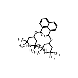 CC1(C)CC(OC(=O)c2cccc3cccc(C(=O)OC4CC(C)(C)NC(C)(C)C4)c23)CC(C)(C)N1